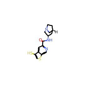 O=C(N[C@@H]1C[C@H]2CCN(C2)C1)c1cc2c(S)csc2cn1